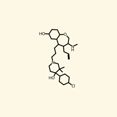 C=CCC1C(NC)COC2CCC(O)CC2C1CCCN1CCC(O)(C2CCC(Cl)CC2)C(C)(C)C1